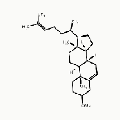 COC1CC[C@@]2(C)C(=CC[C@H]3[C@@H]4CC[C@H]([C@H](C)CCC=C(C)C)[C@@]4(C)CC[C@@H]32)C1